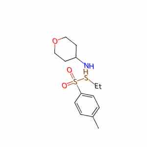 CC[SH](NC1CCOCC1)S(=O)(=O)c1ccc(C)cc1